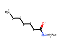 CNNC(=O)CCCCCC(C)(C)C